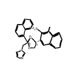 Cc1c(S(=O)(=O)O)c([C@@H]2CO[C@](Cn3ccnc3)(c3cccc4ccccc34)O2)cc2ccccc12